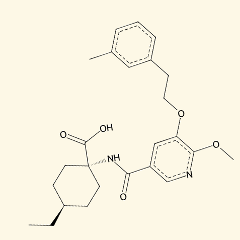 CC[C@H]1CC[C@@](NC(=O)c2cnc(OC)c(OCCc3cccc(C)c3)c2)(C(=O)O)CC1